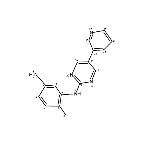 Cc1ccc(N)cc1Nc1ncc(-c2cccnc2)cn1